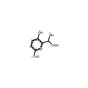 COC(c1nc(C=O)ccc1O)C(C)(C)C